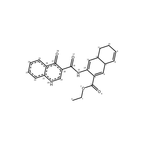 CCOC(=O)C1=CC2C=CCCC2C=C1NC(=O)c1c[nH]c2ccccc2c1=O